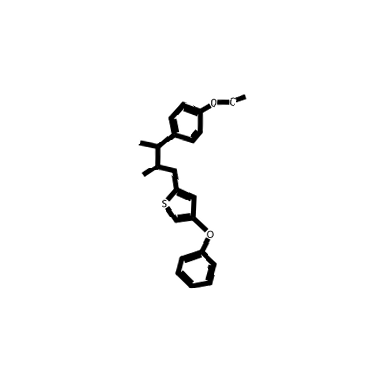 CCOc1ccc([C](C)C(C)Cc2cc(Oc3ccccc3)cs2)cc1